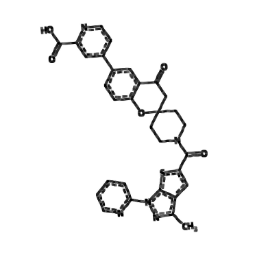 Cc1nn(-c2ccccn2)c2sc(C(=O)N3CCC4(CC3)CC(=O)c3cc(-c5ccnc(C(=O)O)c5)ccc3O4)cc12